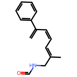 C=C(/C=C\C=C(/C)CNC=O)c1ccccc1